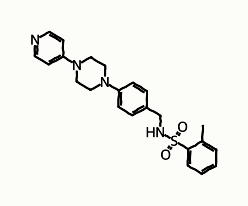 Cc1ccccc1S(=O)(=O)NCc1ccc(N2CCN(c3ccncc3)CC2)cc1